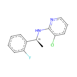 C[C@H](Nc1nc[c]cc1Cl)c1ccccc1F